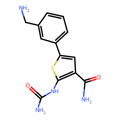 NCc1cccc(-c2cc(C(N)=O)c(NC(N)=O)s2)c1